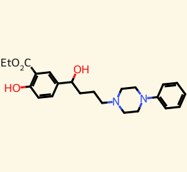 CCOC(=O)c1cc(C(O)CCCN2CCN(c3ccccc3)CC2)ccc1O